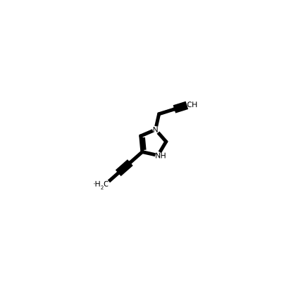 C#CCN1C=C(C#C[CH2])NC1